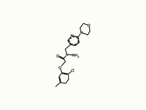 CC1=CC(OCC(=O)N(N)Cc2ccc(N3CCOCC3)nc2)=C(Cl)CC1